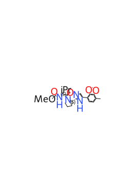 COC(=O)N[C@H](C(=O)N1CCC[C@H]1c1ncc(-c2ccc(C)c3c2OCO3)[nH]1)C(C)C